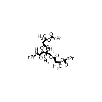 [CH2]CCNC(=O)[C@H](OC(=O)C[C@@H](C)OC(=O)CCC)C(C)(C)COC(=O)C[C@@H](C)OC(=O)CCC